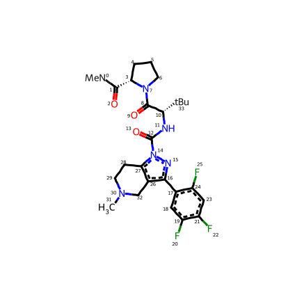 CNC(=O)[C@@H]1CCCN1C(=O)[C@@H](NC(=O)n1nc(-c2cc(F)c(F)cc2F)c2c1CCN(C)C2)C(C)(C)C